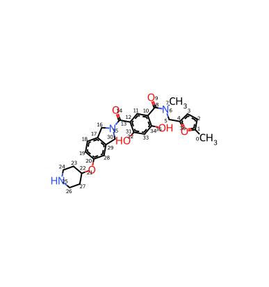 Cc1ccc(CN(C)C(=O)c2cc(C(=O)N3Cc4ccc(OC5CCNCC5)cc4C3)c(O)cc2O)o1